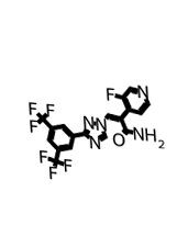 NC(=O)/C(=C\n1cnc(-c2cc(C(F)(F)F)cc(C(F)(F)F)c2)n1)c1ccncc1F